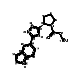 CC(C)(C)OC(=O)N1CCC[C@H]1c1nc(-c2ccc3[nH]ccc3c2)no1